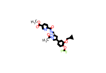 COC(=O)c1ccc(C(=O)NC[C@H]2CC(c3ccc(OC(F)F)c(OCC4CC4)c3)CN2C(C)=O)nc1